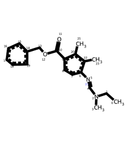 CCN(C)/C=N/c1ccc(C(=O)OCc2ccccc2)c(C)c1C